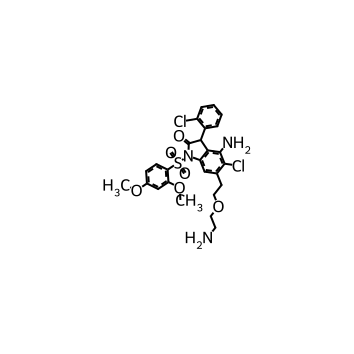 COc1ccc(S(=O)(=O)N2C(=O)C(c3ccccc3Cl)c3c2cc(CCOCCN)c(Cl)c3N)c(OC)c1